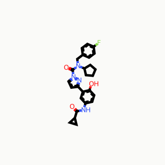 O=C(Nc1ccc(O)c(-c2ccn(C(=O)N(Cc3ccc(F)cc3)C3CCCC3)n2)c1)C1CC1